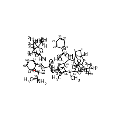 [2H]C([2H])([2H])O[C@H]1C[C@H]2CC[C@@]2(OC(C)=O)[C@H]2[C@H](OC(=O)c3ccccc3)[C@]3(O)C[C@H](OC(=O)[C@H](OC(=O)C(C)N)[C@@H](NC(=O)OC(C([2H])([2H])[2H])(C([2H])([2H])[2H])C([2H])([2H])[2H])c4ccccc4)C(C)=C([C@@H](C)C(=O)[C@]12C)C3(C)C